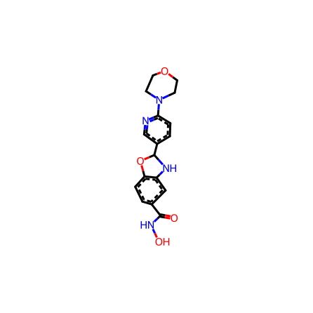 O=C(NO)c1ccc2c(c1)NC(c1ccc(N3CCOCC3)nc1)O2